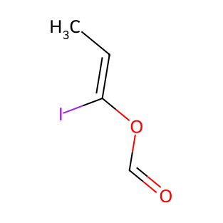 CC=C(I)OC=O